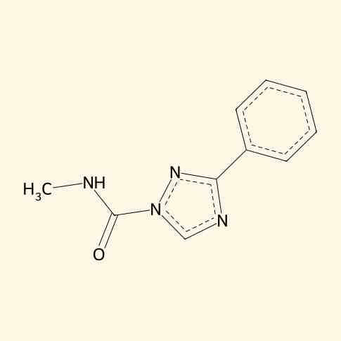 CNC(=O)n1cnc(-c2ccccc2)n1